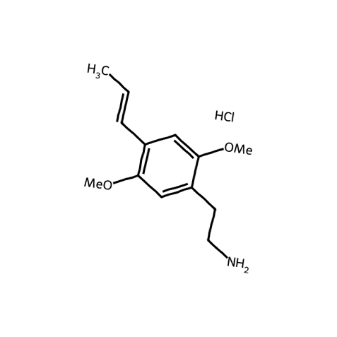 CC=Cc1cc(OC)c(CCN)cc1OC.Cl